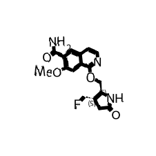 COc1cc2c(OC[C@H]3NC(=O)C[C@@H]3CF)nccc2cc1C(N)=O